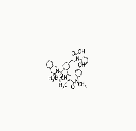 Cc1c(C(=O)N(C)c2ccc(O)cc2)cc(-c2cc(CCN(C(=O)O)c3ccccc3)ccc2C(=O)N2Cc3ccccc3C[C@H]2C)n1C